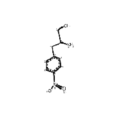 NC(CCl)Cc1ccc([N+](=O)[O-])cc1